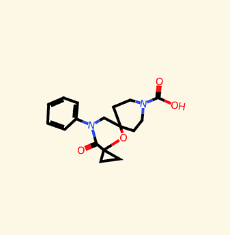 O=C(O)N1CCC2(CC1)CN(c1ccccc1)C(=O)C1(CC1)O2